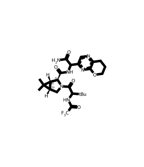 CC(C)(C)C(NC(=O)C(F)(F)F)C(=O)N1C[C@H]2[C@@H]([C@H]1C(=O)NC(C(N)=O)c1cnc3c(n1)OCCC3)C2(C)C